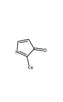 O=C1C=CN=[C]1[Ce]